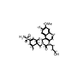 COc1cc2ncc3c(c2cc1F)CN(Cc1c(F)cc(S(N)(=O)=O)cc1F)C(=O)N3CCCO